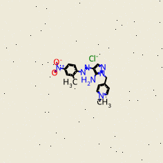 Cc1cc([N+](=O)[O-])ccc1/N=N/c1cnn(Cc2cc[n+](C)cc2)c1N.[Cl-]